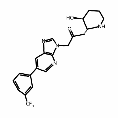 O=C(C[C@H]1NCCC[C@@H]1O)Cn1cnc2cc(-c3cccc(C(F)(F)F)c3)cnc21